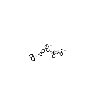 CC(=O)NCCc1ccccc1OCCOC1CNCCC1c1ccc(OCCCOc2ccccc2Cl)cc1